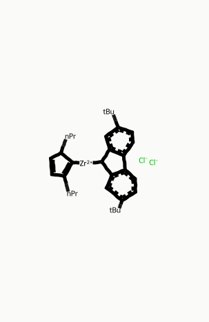 CCCC1=[C]([Zr+2][CH]2c3cc(C(C)(C)C)ccc3-c3ccc(C(C)(C)C)cc32)C(CCC)C=C1.[Cl-].[Cl-]